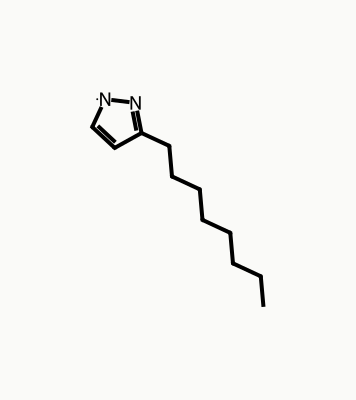 CCCCCCCCC1=N[N]C=C1